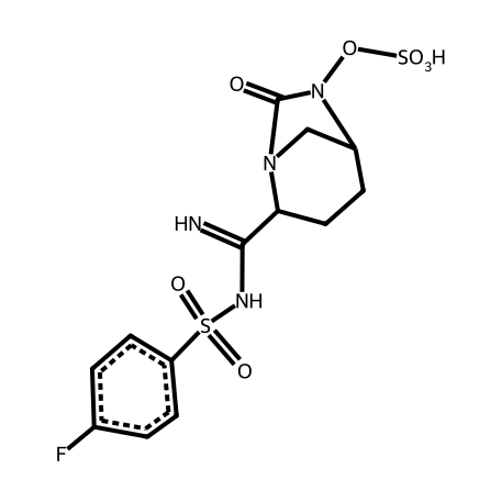 N=C(NS(=O)(=O)c1ccc(F)cc1)C1CCC2CN1C(=O)N2OS(=O)(=O)O